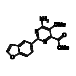 COC(=O)c1nc(-c2ccc3occc3c2)nc(N)c1OC